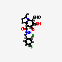 C[C@@H]1CCc2c(C(=O)NCc3ccc(F)cc3F)c(=O)c(O)c(C=O)n21